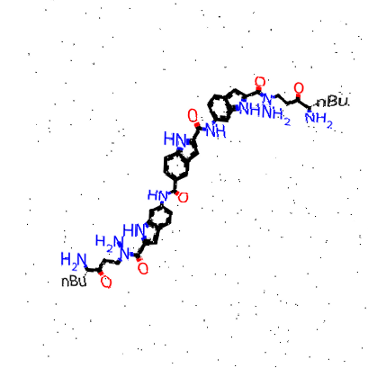 CCCC[C@H](N)C(=O)CCN(N)C(=O)c1cc2ccc(NC(=O)c3ccc4[nH]c(C(=O)Nc5ccc6cc(C(=O)N(N)CCC(=O)[C@@H](N)CCCC)[nH]c6c5)cc4c3)cc2[nH]1